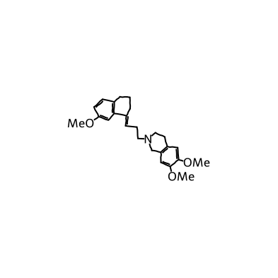 COc1ccc2c(c1)/C(=C/CCN1CCc3cc(OC)c(OC)cc3C1)CCC2